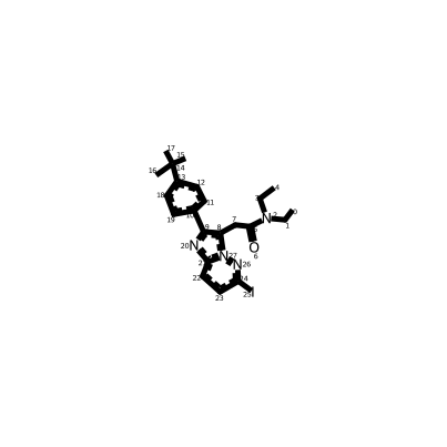 CCN(CC)C(=O)Cc1c(-c2ccc(C(C)(C)C)cc2)nc2ccc(I)nn12